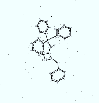 O=C1N[C@H](Sc2ccccc2)[C@@H]1NC(c1ccccc1)(c1ccccc1)c1ccccc1